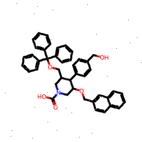 O=C(O)N1CC(COC(c2ccccc2)(c2ccccc2)c2ccccc2)C(c2ccc(CO)cc2)C(OCc2ccc3ccccc3c2)C1